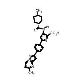 Cc1ccn2nc(-c3ccc(-c4cc(N(C(=O)[C@H]5CC[C@H](C)CC5)C(C)C)c(C(=O)O)s4)cc3)cc2n1